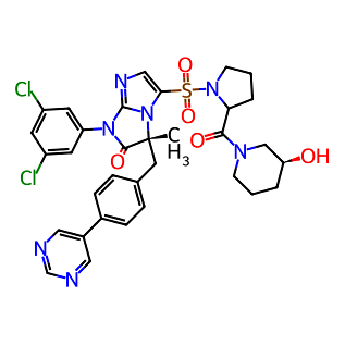 C[C@@]1(Cc2ccc(-c3cncnc3)cc2)C(=O)N(c2cc(Cl)cc(Cl)c2)c2ncc(S(=O)(=O)N3CCCC3C(=O)N3CCC[C@H](O)C3)n21